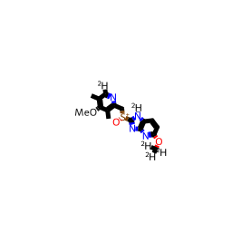 [2H]c1nc(C[S+]([O-])c2nc3nc(OC([2H])([2H])[2H])ccc3n2[2H])c(C)c(OC)c1C